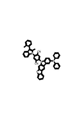 Cc1ccccc1-c1c(C)n(-c2cc(C#N)c(-n3c4ccc(N(c5ccccc5)C5C=CC=CC5)cc4c4cc5c(cc43)sc3ccccc35)cc2C#N)c2ccccc12